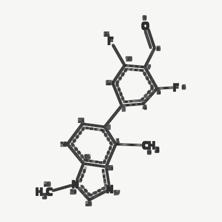 Cc1c(-c2cc(F)c(C=O)c(F)c2)ccc2c1ncn2C